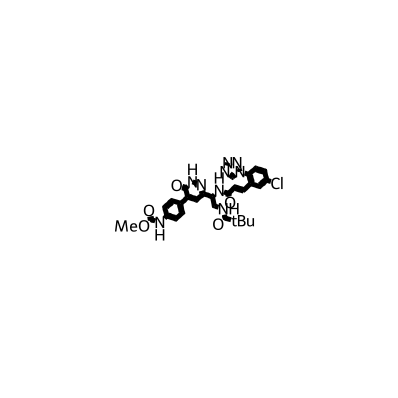 COC(=O)Nc1ccc(-c2cc(C(CNC(=O)C(C)(C)C)NC(=O)C=Cc3cc(Cl)ccc3-n3cnnn3)n[nH]c2=O)cc1